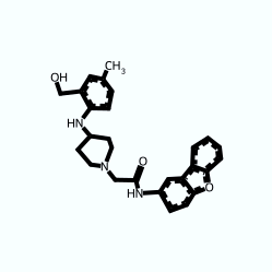 Cc1ccc(NC2CCN(CC(=O)Nc3ccc4oc5ccccc5c4c3)CC2)c(CO)c1